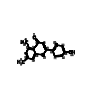 Cc1cc(C)c2c(=O)cc(-c3ccc(O)cn3)oc2c1